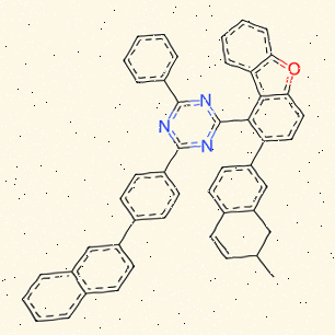 CC1C=Cc2ccc(-c3ccc4oc5ccccc5c4c3-c3nc(-c4ccccc4)nc(-c4ccc(-c5ccc6ccccc6c5)cc4)n3)cc2C1